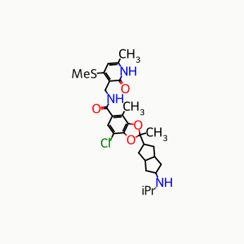 CSc1cc(C)[nH]c(=O)c1CNC(=O)c1cc(Cl)c2c(c1C)OC(C)(C1CC3CC(NC(C)C)CC3C1)O2